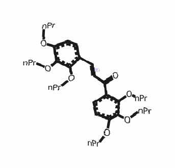 CCCOc1ccc(/C=C/C(=O)c2ccc(OCCC)c(OCCC)c2OCCC)c(OCCC)c1OCCC